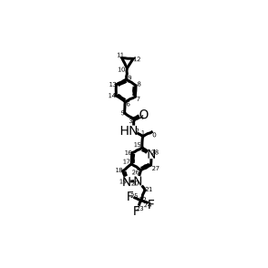 CC(NC(=O)Cc1ccc(C2CC2)cc1)c1cc2cnn(CC(F)(F)F)c2cn1